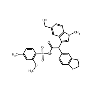 COc1cc(C)ccc1S(=O)(=O)NC(=O)C(c1ccc2c(c1)OCO2)c1cn(C)c2ccc(CO)cc12